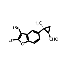 CCc1oc2ccc([C@@]3(C)C[C@H]3C=O)cc2c1C(C)(C)C